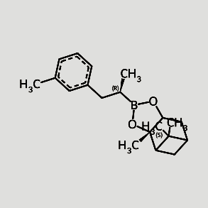 Cc1cccc(C[C@@H](C)B2OC3CC4CC(C4(C)C)[C@]3(C)O2)c1